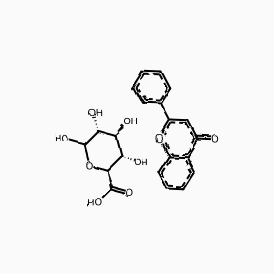 O=C(O)[C@H]1OC(O)[C@H](O)[C@@H](O)[C@@H]1O.O=c1cc(-c2ccccc2)oc2ccccc12